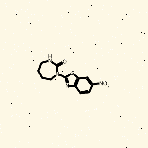 O=C1NCCCCN1c1nc2ccc([N+](=O)[O-])cc2s1